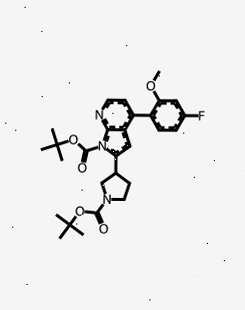 COc1cc(F)ccc1-c1ccnc2c1cc(C1CCN(C(=O)OC(C)(C)C)C1)n2C(=O)OC(C)(C)C